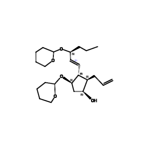 C=CC[C@@H]1[C@@H](/C=C/[C@H](CCC)OC2CCCCO2)[C@H](OC2CCCCO2)C[C@@H]1O